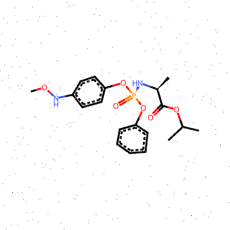 CONc1ccc(O[P@](=O)(N[C@@H](C)C(=O)OC(C)C)Oc2ccccc2)cc1